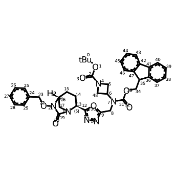 CC(C)(C)OC(=O)N1CC(N(Cc2nnc([C@@H]3CC[C@@H]4CN3C(=O)N4OCc3ccccc3)o2)C(=O)OCC2c3ccccc3-c3ccccc32)C1